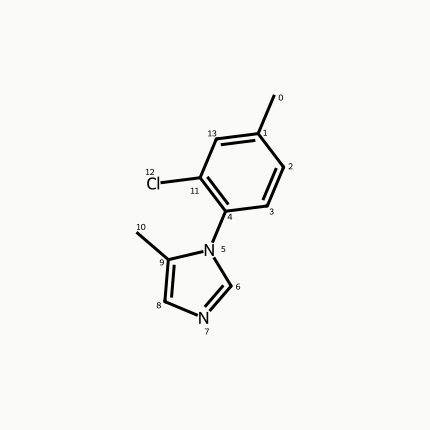 Cc1ccc(-n2cncc2C)c(Cl)c1